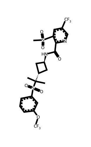 CC(C)([C@H]1C[C@H](NC(=O)c2ncc(C(F)(F)F)cc2S(C)(=O)=O)C1)S(=O)(=O)c1cccc(OC(F)(F)F)c1